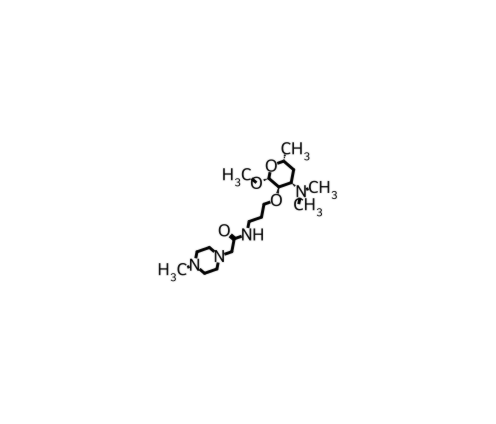 CO[C@@H]1O[C@H](C)C[C@H](N(C)C)[C@H]1OCCCNC(=O)CN1CCN(C)CC1